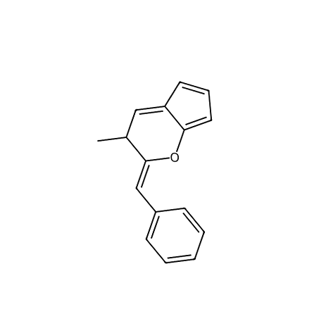 CC1C=C2C=CC=C2OC1=Cc1ccccc1